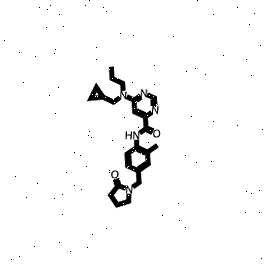 CCCN(CC1CC1)c1cc(C(=O)Nc2ccc(CN3CCCC3=O)cc2C)ncn1